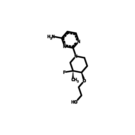 C[C@]1(F)CN(c2nccc(N)n2)CC[C@H]1OCCO